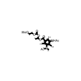 COCCOC(=O)OC(C)OC(=O)c1c(I)c(NC(C)=O)c(I)c(N(C)C(C)=O)c1I